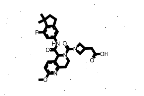 COc1ccc2c(n1)CCN(C(=O)N1CC(CC(=O)O)C1)C2C(=O)Nc1cc(F)c2c(c1)CCC2(C)C